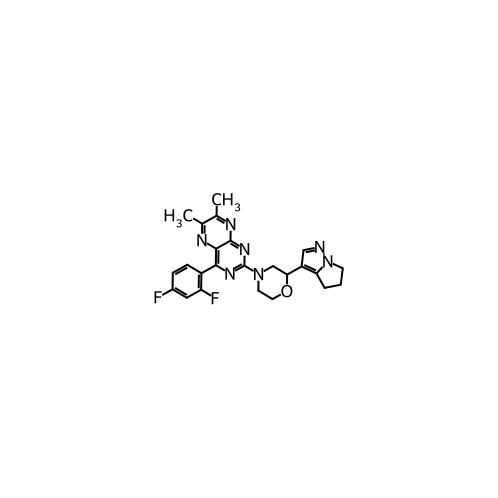 Cc1nc2nc(N3CCOC(c4cnn5c4CCC5)C3)nc(-c3ccc(F)cc3F)c2nc1C